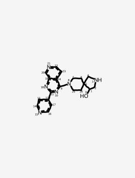 OC1CNCC12CCN(c1nc(-c3ccncc3)nc3cnccc13)CC2